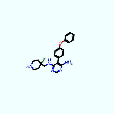 Nc1ncnc(NCC2(F)CCNCC2)c1-c1ccc(Oc2ccccc2)cc1